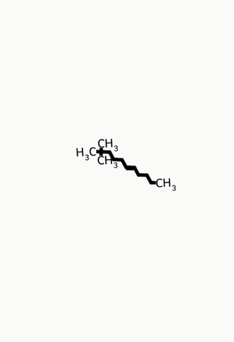 CCCCC=CCCCC(C)(C)C